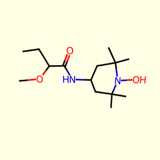 CCC(OC)C(=O)NC1CC(C)(C)N(O)C(C)(C)C1